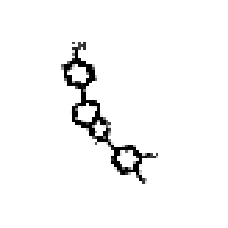 Oc1ccc(-c2ccc3oc(-c4ccc(F)c(O)c4)nc3c2)cc1